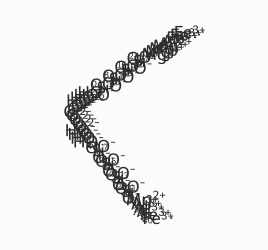 O=[Si]([O-])[O-].O=[Si]([O-])[O-].O=[Si]([O-])[O-].O=[Si]([O-])[O-].O=[Si]([O-])[O-].O=[Si]([O-])[O-].O=[Si]([O-])[O-].O=[Si]([O-])[O-].[Al+3].[Al+3].[Al+3].[Al+3].[Al+3].[Fe+3].[Fe+3].[Fe+3].[Fe+3].[Fe+3].[Mg+2].[Mg+2].[Mg+2].[Mg+2].[Mg+2].[O-2].[O-2].[O-2].[O-2].[O-2].[O-2].[O-2].[O-2].[OH-].[OH-].[OH-].[OH-].[OH-].[OH-].[OH-].[OH-]